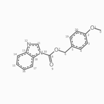 COc1ccc(COC(=O)n2cnc3ccccc32)cc1